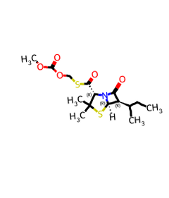 CCC(C)[C@@H]1C(=O)N2[C@@H]1SC(C)(C)[C@@H]2C(=O)SCOC(=O)OC